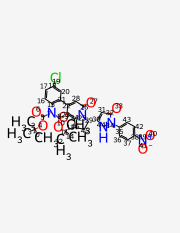 CC(C)(C)OC(=O)N(C(=O)OC(C)(C)C)c1ccc(Cl)cc1-c1cc2n(c(=O)c1)[C@H](c1cc(=O)n(-c3ccc([N+](=O)[O-])cc3)[nH]1)CC2